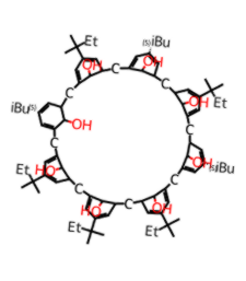 CC[C@H](C)C1=CC2CC3=CC(C(C)(C)CC)=CC(CC4=CC([C@@H](C)CC)=CC(CC5C=C(C(C)(C)CC)C=C(CC6C=C([C@@H](C)CC)C=C(CC7=CC(C(C)(C)CC)=CC(CC8C=C(C(C)(C)CC)C=C(CC9C=C(C(C)(C)CC)C=C(CC(=C1)C2O)C9O)C8O)C7O)C6O)C5O)C4O)C3O